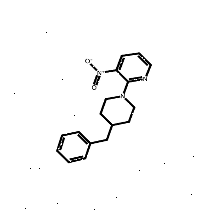 O=[N+]([O-])c1cccnc1N1CCC(Cc2ccccc2)CC1